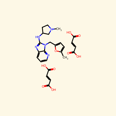 Cc1ccc(Cn2c(NC3CCN(C)C3)nc3cccnc32)o1.O=C(O)C=CC(=O)O.O=C(O)C=CC(=O)O